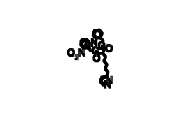 O=C(OCc1ccccc1[N+](=O)[O-])C(CCCCCc1cccnn1)C(=O)OCc1ccccc1[N+](=O)[O-]